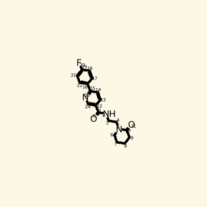 O=C(NCCN1CCCCC1=O)c1ccc(-c2ccc(F)cc2)nc1